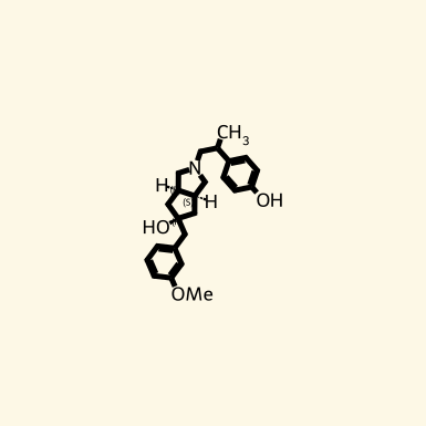 COc1cccc(C[C@]2(O)C[C@H]3CN(CC(C)c4ccc(O)cc4)C[C@H]3C2)c1